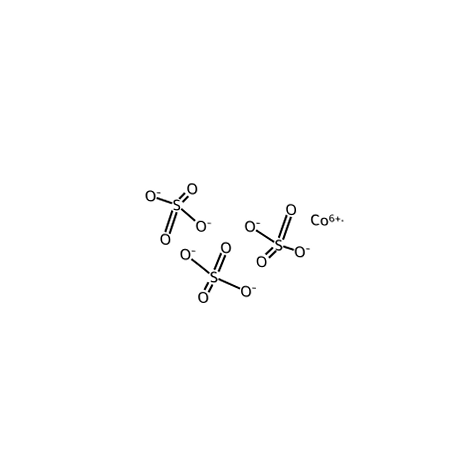 O=S(=O)([O-])[O-].O=S(=O)([O-])[O-].O=S(=O)([O-])[O-].[Co+6]